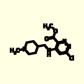 COC(=O)c1nnc(Cl)cc1NCC1CCN(C)CC1